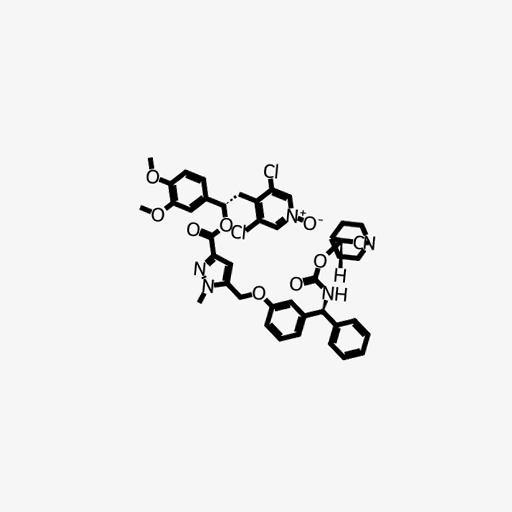 COc1ccc([C@H](Cc2c(Cl)c[n+]([O-])cc2Cl)OC(=O)c2cc(COc3cccc([C@@H](NC(=O)O[C@H]4CN5CCC4CC5)c4ccccc4)c3)n(C)n2)cc1OC